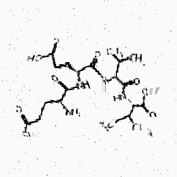 CC(C)[C@H](NC(=O)[C@@H](NC(=O)[C@H](CCC(=O)O)NC(=O)[C@@H](N)CCC(=O)O)C(C)C)C(=O)O